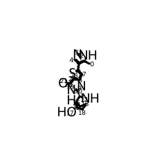 Cc1[nH]ncc1-c1cc2nc([C@H]3NC4CC3[C@@H](O)C4)[nH]c(=O)c2s1